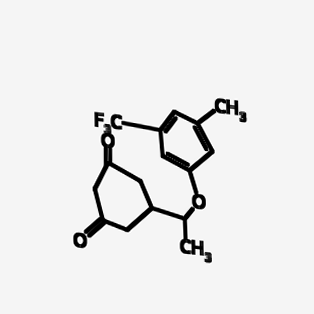 Cc1cc(OC(C)C2CC(=O)CC(=O)C2)cc(C(F)(F)F)c1